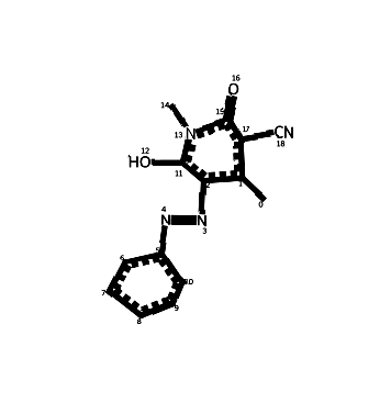 Cc1c(/N=N/c2ccccc2)c(O)n(C)c(=O)c1C#N